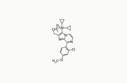 CCc1nc2c(-c3ccc(OC)cc3Cl)nccn2c1[N+](C)(C1CC1)C1CC1